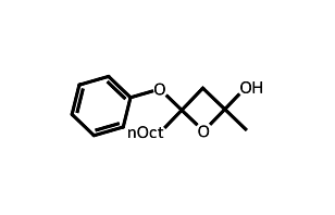 CCCCCCCCC1(Oc2ccccc2)CC(C)(O)O1